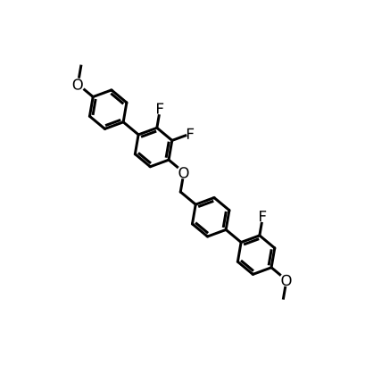 COc1ccc(-c2ccc(OCc3ccc(-c4ccc(OC)cc4F)cc3)c(F)c2F)cc1